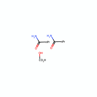 CCCC(N)=O.CCCC(N)=O.O=C(O)O